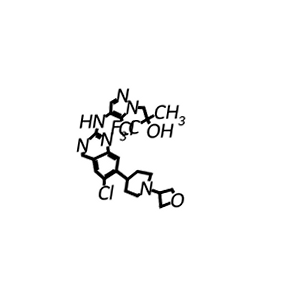 CC(O)(Cn1ncc(Nc2ncc3cc(Cl)c(C4CCN(C5COC5)CC4)cc3n2)c1Cl)C(F)(F)F